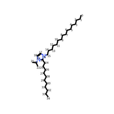 CCCCCCCCCCCCCCCCN1C=CN(C(C)C)C1CCCCCCCCCCC